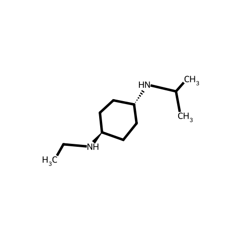 CCN[C@H]1CC[C@H](NC(C)C)CC1